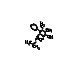 Cc1c(O)c(O)c(C=O)c(CSCCC(C)C)c1-c1ccccc1